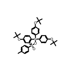 Cc1ccc(S(=O)(=O)OS(c2ccc(OC(C)(C)C)cc2)(c2ccc(OC(C)(C)C)cc2)c2ccc(OC(C)(C)C)cc2)cc1